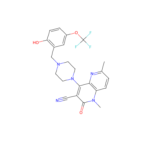 Cc1ccc2c(n1)c(N1CCN(Cc3cc(OC(F)(F)F)ccc3O)CC1)c(C#N)c(=O)n2C